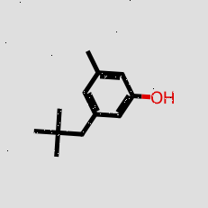 Cc1cc(O)cc(CC(C)(C)C)c1